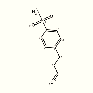 C=CCCc1ccc(S(N)(=O)=O)cc1